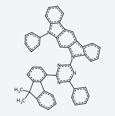 CC1(C)c2ccccc2-c2c(-c3nc(-c4ccccc4)nc(-n4c5ccccc5c5cc6c7ccccc7n(-c7ccccc7)c6cc54)n3)cccc21